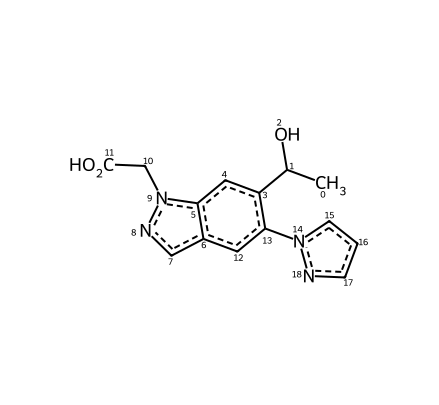 CC(O)c1cc2c(cnn2CC(=O)O)cc1-n1cccn1